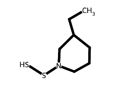 CCC1CCCN(SS)C1